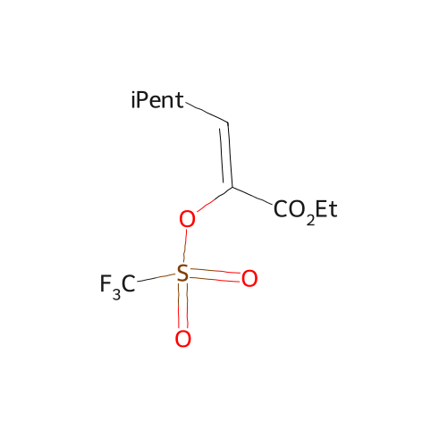 CCCC(C)C=C(OS(=O)(=O)C(F)(F)F)C(=O)OCC